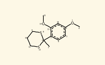 COc1ccc(C2(C)SCCCS2)c(OC)c1